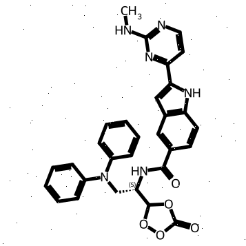 CNc1nccc(-c2cc3cc(C(=O)N[C@@H](CN(c4ccccc4)c4ccccc4)C4OOC(=O)O4)ccc3[nH]2)n1